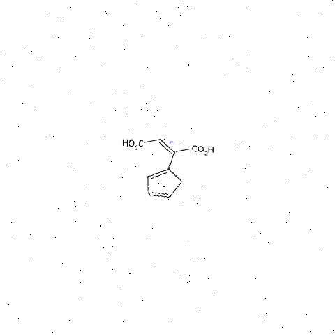 O=C(O)/C=C(/C(=O)O)C1=CC=CC1